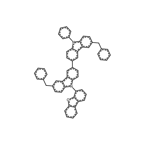 c1ccc(Cc2ccc3c(c2)c2cc(-c4ccc5c(c4)c4cc(Cc6ccccc6)ccc4n5-c4cccc5c4oc4ccccc45)ccc2n3-c2ccccc2)cc1